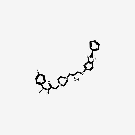 C[C@H](NC(=O)CN1CCN(C[C@@H](O)COc2ccc3oc(-c4ccccc4)nc3c2)CC1)c1ccc(F)cc1